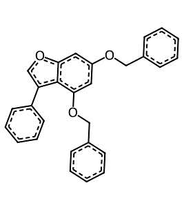 c1ccc(COc2cc(OCc3ccccc3)c3c(-c4ccccc4)coc3c2)cc1